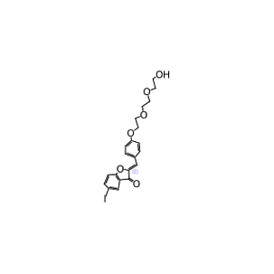 O=C1/C(=C/c2ccc(OCCOCCOCCO)cc2)Oc2ccc(I)cc21